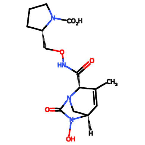 CC1=C[C@@H]2CN(C(=O)N2O)[C@@H]1C(=O)NOC[C@@H]1CCCN1C(=O)O